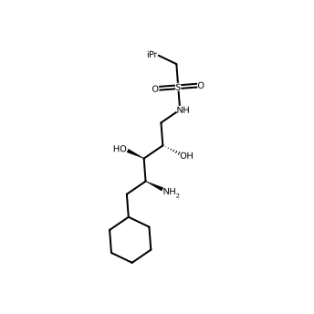 CC(C)CS(=O)(=O)NC[C@H](O)[C@H](O)[C@@H](N)CC1CCCCC1